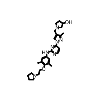 Cc1cc(Nc2nccc(-n3cc(CN4CCC(O)C4)c(C)n3)n2)cc(C)c1OCCN1CCCC1